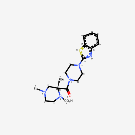 CCN1CCN(C(=O)O)[C@](C(=O)N2CCN(c3nc4ccccc4s3)CC2)(C(C)(C)C)C1